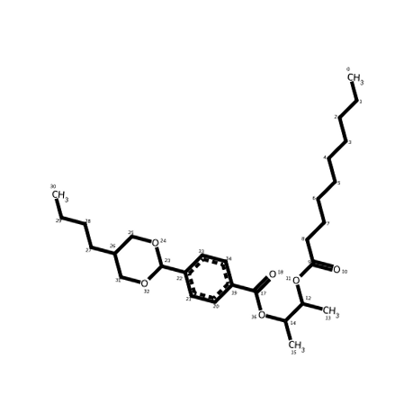 CCCCCCCCCC(=O)OC(C)C(C)OC(=O)c1ccc(C2OCC(CCCC)CO2)cc1